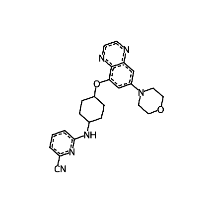 N#Cc1cccc(NC2CCC(Oc3cc(N4CCOCC4)cc4nccnc34)CC2)n1